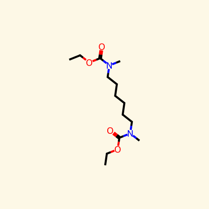 CCOC(=O)N(C)CCCCCCN(C)C(=O)OCC